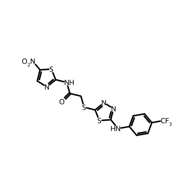 O=C(CSc1nnc(Nc2ccc(C(F)(F)F)cc2)s1)Nc1ncc([N+](=O)[O-])s1